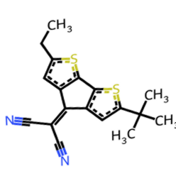 CCc1cc2c(s1)-c1sc(C(C)(C)C)cc1C2=C(C#N)C#N